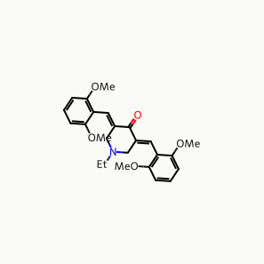 CCN1C/C(=C\c2c(OC)cccc2OC)C(=O)/C(=C/c2c(OC)cccc2OC)C1